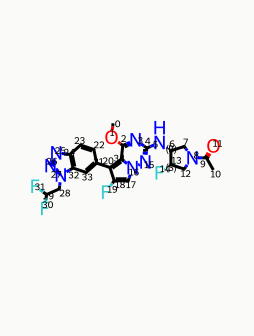 COc1nc(N[C@@H]2CN(C(C)=O)C[C@@H]2F)nn2cc(F)c(-c3ccc4nnn(CC(F)F)c4c3)c12